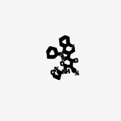 N#CC(C(=O)Nc1ccon1)C(=O)c1nn(-c2ccccc2)c2c1CSc1ccccc1-2